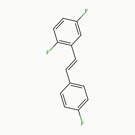 Fc1ccc(C=Cc2cc(F)ccc2F)cc1